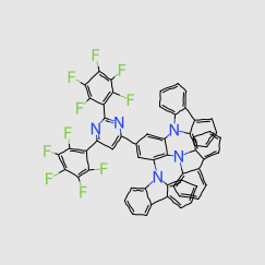 Fc1c(F)c(F)c(-c2cc(-c3cc(-n4c5ccccc5c5ccccc54)c(-n4c5ccccc5c5ccccc54)c(-n4c5ccccc5c5ccccc54)c3)nc(-c3c(F)c(F)c(F)c(F)c3F)n2)c(F)c1F